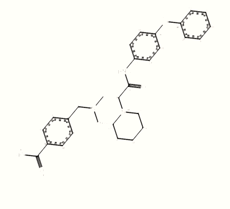 CN(Cc1ccc(C(=O)O)cc1)C[C@H]1CCCCN1CC(=O)Nc1ccc(Oc2ccccc2)cc1